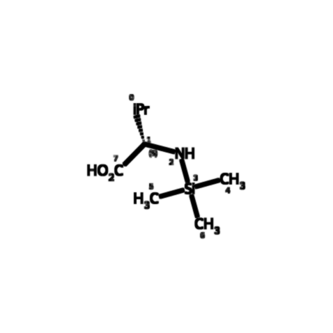 CC(C)[C@H](N[Si](C)(C)C)C(=O)O